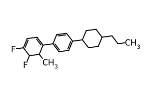 CCCC1CCC(c2ccc(C3=CC=C(F)C(F)C3C)cc2)CC1